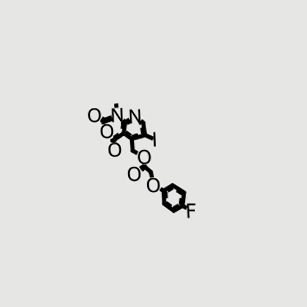 Cn1c(=O)oc(=O)c2c(COC(=O)COc3ccc(F)cc3)c(I)cnc21